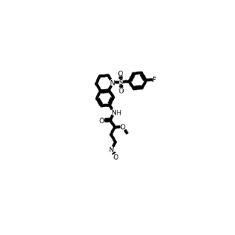 COC(CCN=O)C(=O)Nc1ccc2c(c1)N(S(=O)(=O)c1ccc(F)cc1)CCC2